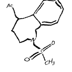 CC(=O)C1CCN(S(C)(=O)=O)c2ccccc21